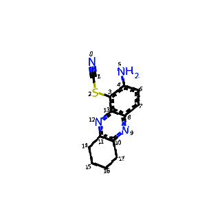 N#CSc1c(N)ccc2nc3c(nc12)CCCC3